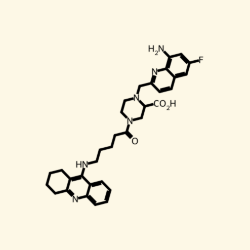 Nc1cc(F)cc2ccc(CN3CCN(C(=O)CCCCNc4c5c(nc6ccccc46)CCCC5)CC3C(=O)O)nc12